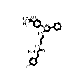 CC(C)(C)c1ccc(-n2nc(-c3ccncc3)cc2NCCCNC(=O)[C@@H](N)Cc2ccc(O)cc2)cc1